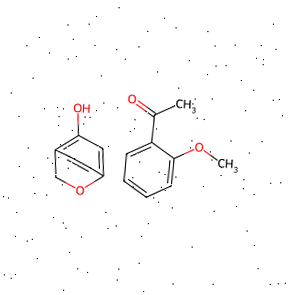 COc1ccccc1C(C)=O.Oc1cc2ccc1CO2